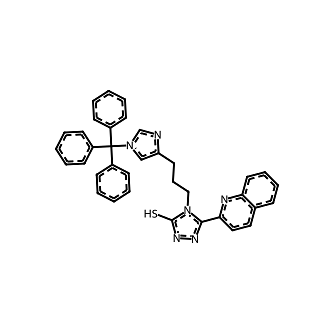 Sc1nnc(-c2ccc3ccccc3n2)n1CCCc1cn(C(c2ccccc2)(c2ccccc2)c2ccccc2)cn1